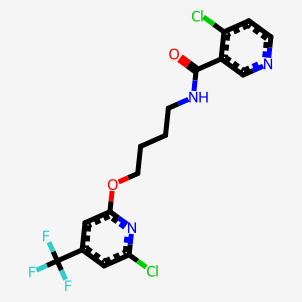 O=C(NCCCCOc1cc(C(F)(F)F)cc(Cl)n1)c1cnccc1Cl